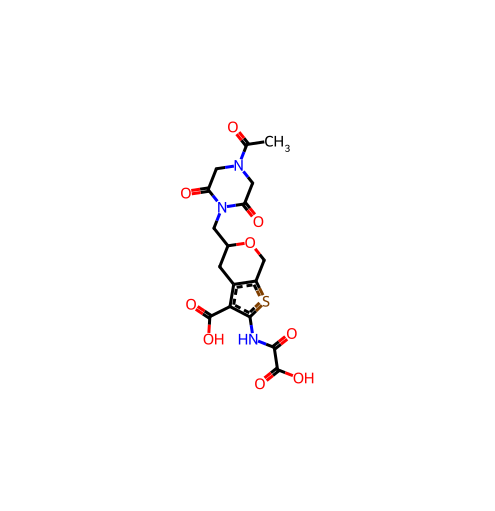 CC(=O)N1CC(=O)N(CC2Cc3c(sc(NC(=O)C(=O)O)c3C(=O)O)CO2)C(=O)C1